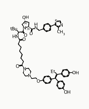 CCC(=C(c1ccc(O)cc1)c1ccc(OCCN2CCN(C(=O)CCCCCCC(=O)NC(C(=O)N3C[C@H](O)C[C@H]3C(=O)NCc3ccc(-c4scnc4C)cc3)C(C)(C)C)CC2)cc1)c1ccc(O)cc1